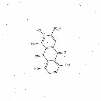 O=C1c2cc(S(=O)(=O)O)c(O)c(O)c2C(=O)c2c(O)ccc(O)c21